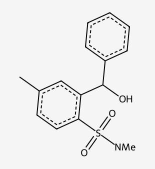 CNS(=O)(=O)c1ccc(C)cc1C(O)c1ccccc1